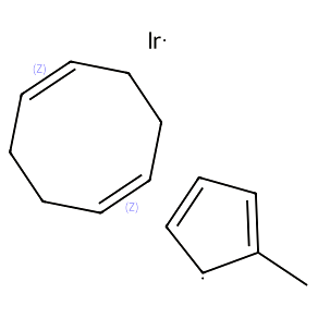 C1=C\CC/C=C\CC/1.CC1=CC=C[CH]1.[Ir]